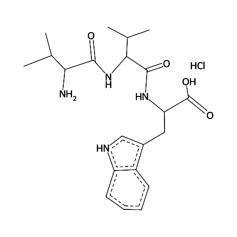 CC(C)C(N)C(=O)NC(C(=O)NC(Cc1c[nH]c2ccccc12)C(=O)O)C(C)C.Cl